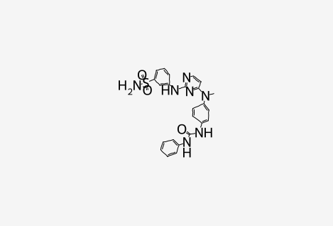 CN(c1ccc(NC(=O)Nc2ccccc2)cc1)c1ccnc(Nc2cccc(S(N)(=O)=O)c2)n1